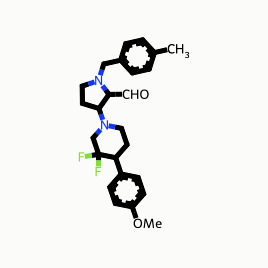 COc1ccc(C2CCN(C3CCN(Cc4ccc(C)cc4)C3C=O)CC2(F)F)cc1